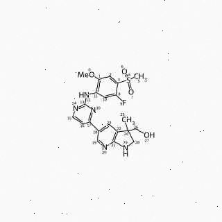 COc1cc(S(C)(=O)=O)c(F)cc1Nc1nccc(-c2cnc3c(c2)C(C)(CO)CN3)n1